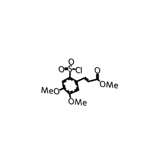 COC(=O)C=Cc1cc(OC)c(OC)cc1S(=O)(=O)Cl